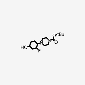 CC(C)(C)OC(=O)N1CCN(C2CCC(O)CC2F)CC1